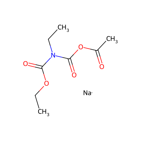 CCOC(=O)N(CC)C(=O)OC(C)=O.[Na]